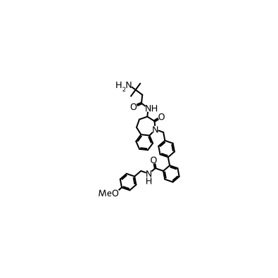 COc1ccc(CNC(=O)c2ccccc2-c2ccc(CN3C(=O)C(NC(=O)CC(C)(C)N)CCc4ccccc43)cc2)cc1